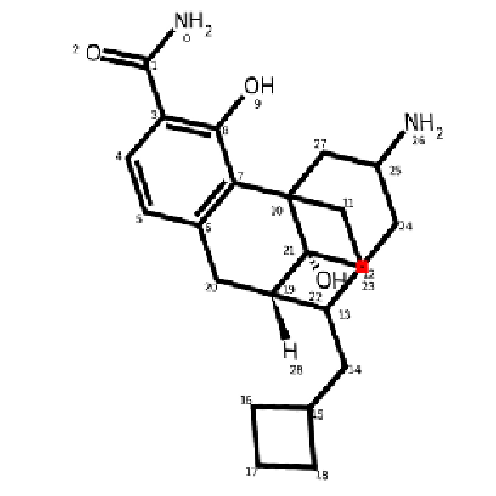 NC(=O)c1ccc2c(c1O)C13CCC(CC4CCC4)[C@H](C2)[C@]1(O)CCC(N)C3